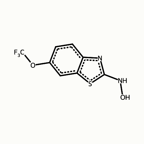 ONc1nc2ccc(OC(F)(F)F)cc2s1